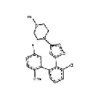 COc1ccc(F)cc1-c1cccc(Cl)c1-c1cc(N2CCN(C(C)(C)C)CC2)no1